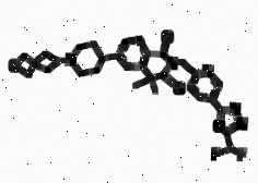 CC1(C)C(=O)N(Cc2ccc(-c3nnc(C(F)F)o3)cn2)C(=O)c2ccc(C3CCN(C4CC5(COC5)C4)CC3)cc21